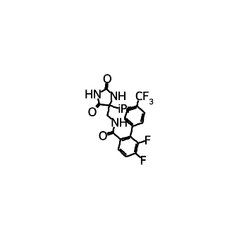 CC(C)C1(CNC(=O)c2ccc(F)c(F)c2-c2ccc(C(F)(F)F)cc2)NC(=O)NC1=O